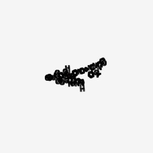 CC(C)Oc1ccccc1[C@@H]1CN(c2cc3c(cn2)OCCC3)CCN1C1CC2(CCN(c3ccc(C(=O)NS(=O)(=O)c4cc5c(c([N+](=O)[O-])c4)N[C@H](C4CCOCC4)CO5)c(N4c5cc6cc[nH]c6nc5O[C@H]5COCC[C@@H]54)c3)CC2)C1